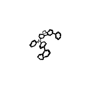 c1ccc(-c2ccc3oc4ccc(N(c5ccccc5)c5ccc(-c6cccc7ccccc67)cc5)cc4c3c2)cc1